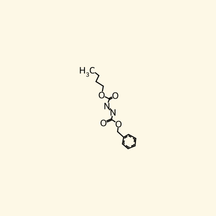 CCCCOC(=O)N=NC(=O)OCc1ccccc1